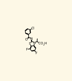 CC(C(=O)O)n1c(=NC(=O)c2cccc(Cl)c2)sc2c(F)cc(F)cc21